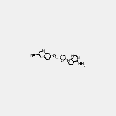 N#Cc1cnc2cc(OC[C@@H]3CC[C@H](n4ccc5c(N)ncnc54)O3)ccc2c1